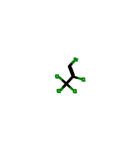 ClC(=CBr)C(Cl)(Cl)Cl